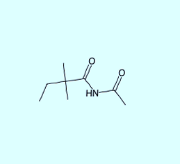 CCC(C)(C)C(=O)NC(C)=O